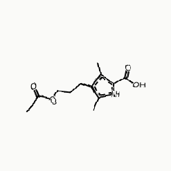 CC(=O)OCCCc1c(C)[nH]c(C(=O)O)c1C